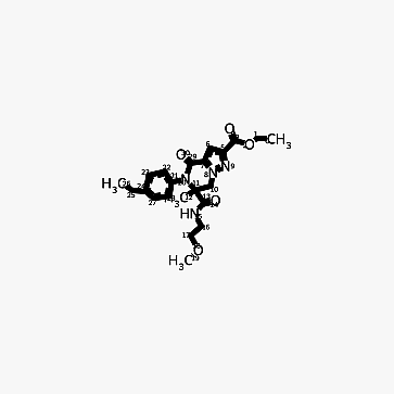 CCOC(=O)c1cc2n(n1)CC(C)(C(=O)NCCOC)N(c1ccc(CC)cc1)C2=O